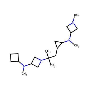 CN(C1CCC1)C1CN(C(C)(C)CC2CC2N(C)C2CN(C(C)(C)C)C2)C1